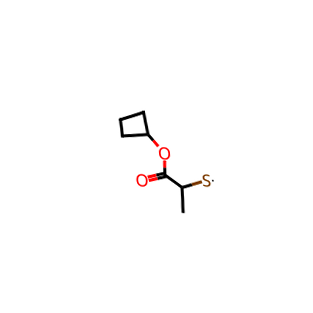 CC([S])C(=O)OC1CCC1